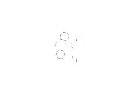 C=CCP(=O)(CC=C)C1c2ccccc2C=Cc2ccccc21